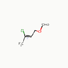 O=[C]OC/C=C(\Cl)C(F)(F)F